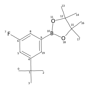 CC(C)(C)c1cc(F)cc(B2OC(C)(C)C(C)(C)O2)c1